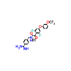 CCO[C@H](C(=O)NCc1ccc(C(=N)N)cc1)c1c(F)cc(Oc2cccc(OC(F)(F)F)c2)cc1F